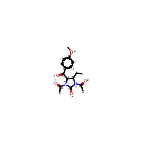 CCC1C(C(=O)c2ccc(OC)cc2)N(C(C)=O)C(=O)N1C(C)=O